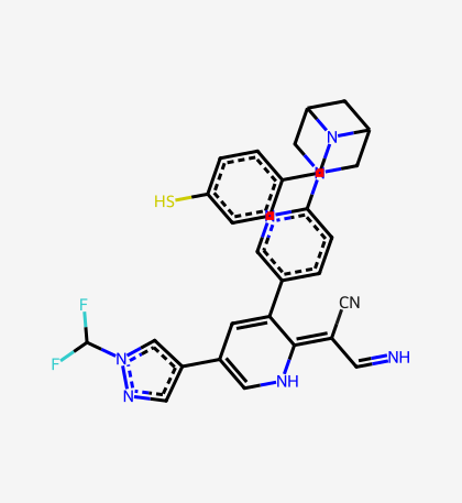 N#C/C(C=N)=C1/NC=C(c2cnn(C(F)F)c2)C=C1c1ccc(N2CC3CC(C2)N3Cc2ccc(S)cc2)nc1